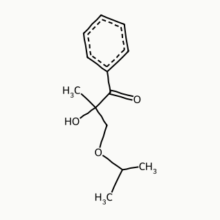 CC(C)OCC(C)(O)C(=O)c1ccccc1